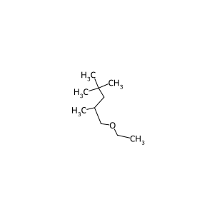 CCOCC(C)CC(C)(C)C